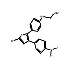 C[S+]([O-])c1ccc(-c2cc(Br)sc2-c2ccc(NCC=O)cc2)cc1